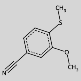 COc1cc(C#N)ccc1SC